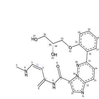 C=C(/C=C\NC)NC(=O)c1cnc2ccc(-c3ccccc3OC[C@H](O)CO)nn12